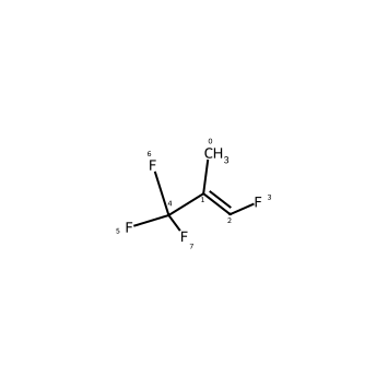 C/C(=C\F)C(F)(F)F